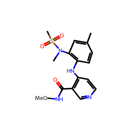 CONC(=O)c1cnccc1Nc1ccc(C)cc1N(C)S(C)(=O)=O